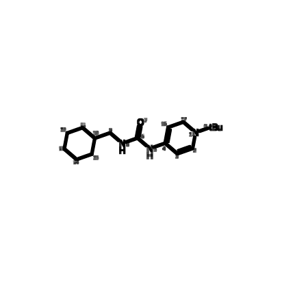 CC(C)(C)N1C=CC(NC(=O)NCC2CCCCC2)=CC1